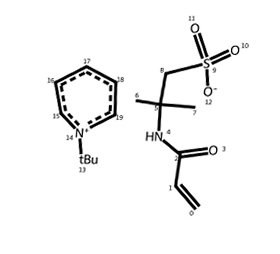 C=CC(=O)NC(C)(C)CS(=O)(=O)[O-].CC(C)(C)[n+]1ccccc1